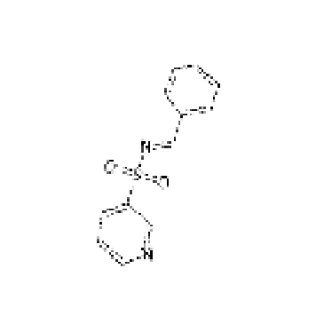 O=S(=O)(/N=C/c1ccccc1)c1cccnc1